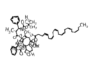 CC/C=C\C/C=C\C/C=C\C/C=C\C/C=C\C/C=C\CCC(=O)O[C@H]1C(=O)[C@@]2(C)[C@H]([C@H](OC(=O)c3ccccc3)[C@]3(O)CC4(OC(=O)[C@H](C)C(NC(=O)OC(C)(C)C)c5ccccc5)C(C)=C1[C@@]43C)[C@]1(OC(C)=O)CO[C@@H]1C[C@@H]2O